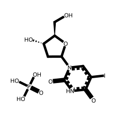 O=P(O)(O)O.O=c1[nH]c(=O)n(C2C[C@H](O)[C@@H](CO)O2)cc1I